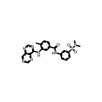 Cc1ccc(C(=O)Nc2cccc(S(=O)(=O)N(C)C)c2)cc1Nc1ncnc2cncnc12